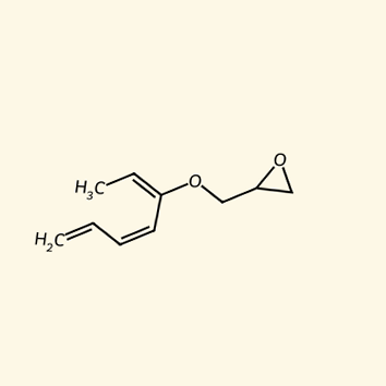 C=C/C=C\C(=C/C)OCC1CO1